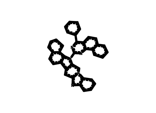 c1ccc(-c2nc(-n3c4cn5c(cc4c4ccc6ccccc6c43)nc3ccccc35)nc3c2ccc2ccccc23)cc1